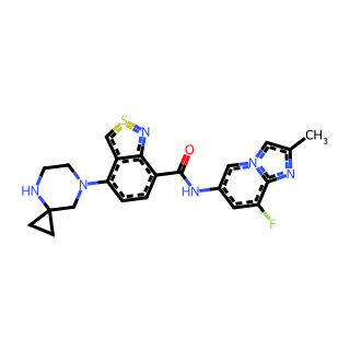 Cc1cn2cc(NC(=O)c3ccc(N4CCNC5(CC5)C4)c4csnc34)cc(F)c2n1